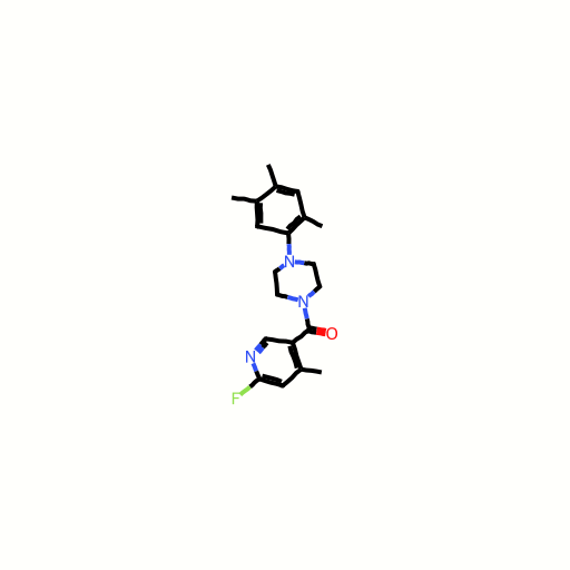 Cc1cc(C)c(N2CCN(C(=O)c3cnc(F)cc3C)CC2)cc1C